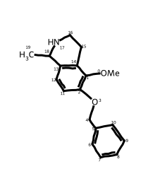 COc1c(OCc2ccccc2)ccc2c1CCNC2C